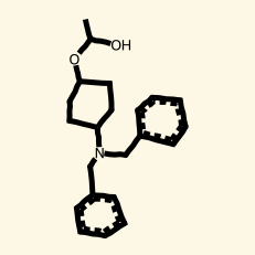 CC(O)OC1CCC(N(Cc2ccccc2)Cc2ccccc2)CC1